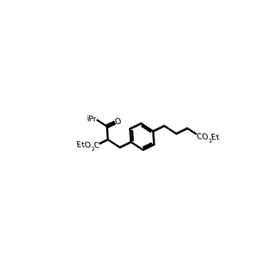 CCOC(=O)CCCc1ccc(CC(C(=O)OCC)C(=O)C(C)C)cc1